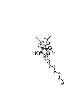 CCCCCCCOC[C@H]1O[C@](COCC)(OC)[C@@H](OCC)[C@@H]1O